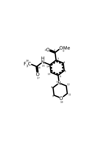 COC(=O)c1ccc(N2CCOCC2)cc1NC(=O)C(F)(F)F